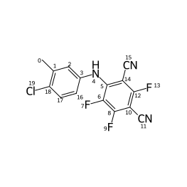 Cc1cc(Nc2c(F)c(F)c(C#N)c(F)c2C#N)ccc1Cl